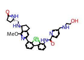 COc1nc(-c2cccc(-c3cccc(NC(=O)c4ccc(CNCCO)cn4)c3Cl)c2Cl)cc2c1[C@@H](NC[C@@H]1CCC(=O)N1)CC2